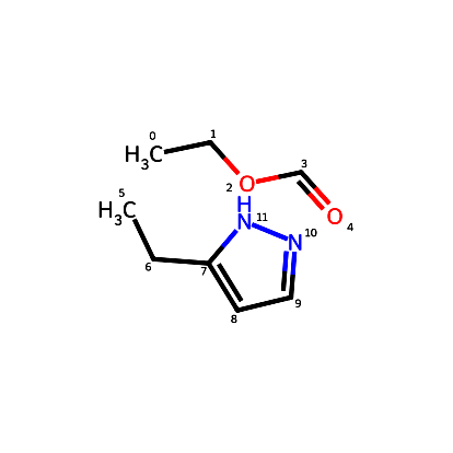 CCOC=O.CCc1ccn[nH]1